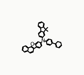 CC1(C)c2ccccc2-c2ccc(N(c3ccc(C4=CC=CCC4)cc3)c3ccc4c(c3)oc3c5ccccc5ccc43)cc21